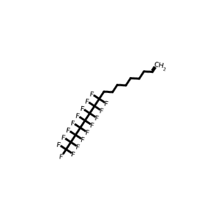 C=CCCCCCCCC(F)(F)C(F)(F)C(F)(F)C(F)(F)C(F)(F)C(F)(F)C(F)(F)C(F)(F)F